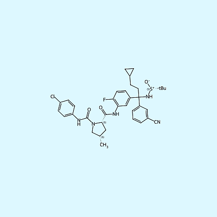 C[C@H]1C[C@@H](C(=O)Nc2cc(C(CCC3CC3)(N[S@+]([O-])C(C)(C)C)c3cccc(C#N)c3)ccc2F)N(C(=O)Nc2ccc(Cl)cc2)C1